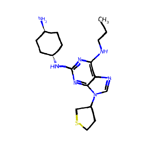 CCCNc1nc(N[C@H]2CC[C@H](N)CC2)nc2c1ncn2C1CCSC1